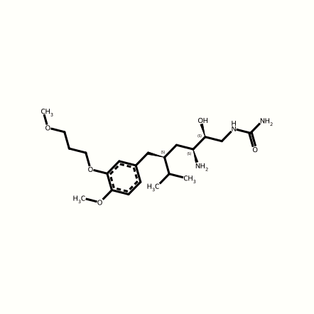 COCCCOc1cc(C[C@@H](C[C@H](N)[C@@H](O)CNC(N)=O)C(C)C)ccc1OC